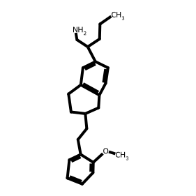 CCCC(CN)c1ccc2c(c1)CCC(CCc1ccccc1OC)C2